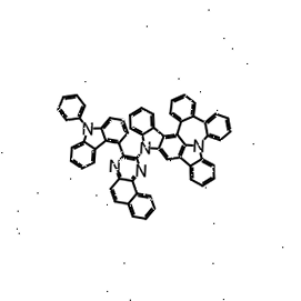 c1ccc(-n2c3ccccc3c3c(-c4nc5ccc6ccccc6c5nc4-n4c5ccccc5c5c6c7c(cc54)c4ccccc4n7-c4ccccc4-c4ccccc4-6)cccc32)cc1